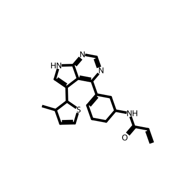 C=CC(=O)NC1CCC=C(c2ncnc3[nH]cc(C4SC=CC4C)c23)C1